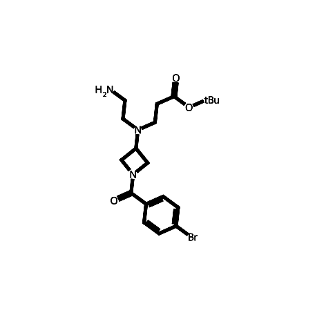 CC(C)(C)OC(=O)CCN(CCN)C1CN(C(=O)c2ccc(Br)cc2)C1